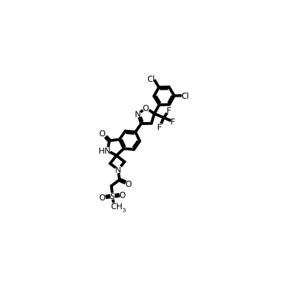 CS(=O)(=O)CC(=O)N1CC2(C1)NC(=O)c1cc(C3=NOC(c4cc(Cl)cc(Cl)c4)(C(F)(F)F)C3)ccc12